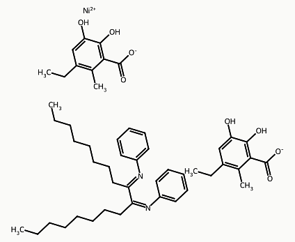 CCCCCCCCC(=Nc1ccccc1)C(CCCCCCCC)=Nc1ccccc1.CCc1cc(O)c(O)c(C(=O)[O-])c1C.CCc1cc(O)c(O)c(C(=O)[O-])c1C.[Ni+2]